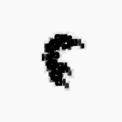 COc1cc2c(cc1N1CCN(C)CC1)N(C(=O)Nc1ccc(-c3ccc(C)nc3C)c(C)c1)CC2